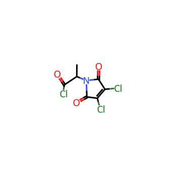 CC(C(=O)Cl)N1C(=O)C(Cl)=C(Cl)C1=O